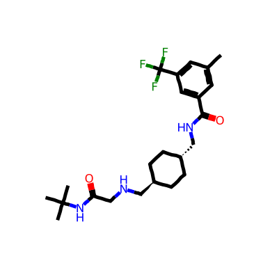 Cc1cc(C(=O)NC[C@H]2CC[C@H](CNCC(=O)NC(C)(C)C)CC2)cc(C(F)(F)F)c1